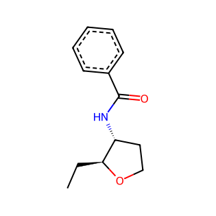 CC[C@@H]1OCC[C@H]1NC(=O)c1ccccc1